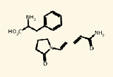 C=CC(N)=O.C=CN1CCCC1=O.NC(Cc1ccccc1)C(=O)O